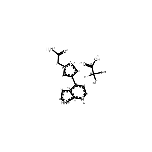 NC(=O)Cn1cc(-c2ccnc3[nH]ccc23)cn1.O=C(O)C(F)(F)F